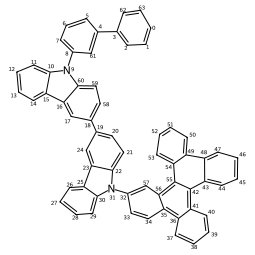 c1ccc(-c2cccc(-n3c4ccccc4c4cc(-c5ccc6c(c5)c5ccccc5n6-c5ccc6c7ccccc7c7c8ccccc8c8ccccc8c7c6c5)ccc43)c2)cc1